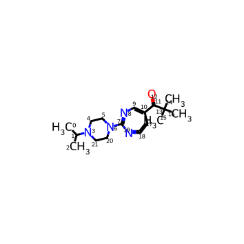 CC(C)N1CCN(C2=NC=C(C(=O)C(C)(C)C)C=C=N2)CC1